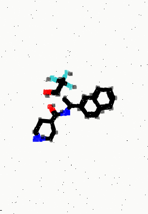 CC(NC(=O)C1CCNCC1)c1ccc2ccccc2c1.O=CC(F)(F)F